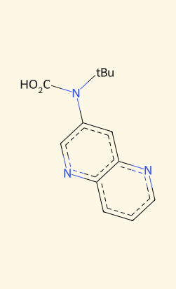 CC(C)(C)N(C(=O)O)c1cnc2cccnc2c1